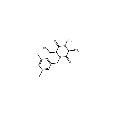 C[C@H]1C(=O)N(Cc2cc(F)cc(F)c2)[C@@H](CO)C(=O)N1C